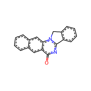 O=c1nc2n(c3cc4ccccc4cc13)Cc1ccccc1-2